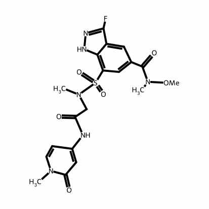 CON(C)C(=O)c1cc(S(=O)(=O)N(C)CC(=O)Nc2ccn(C)c(=O)c2)c2[nH]nc(F)c2c1